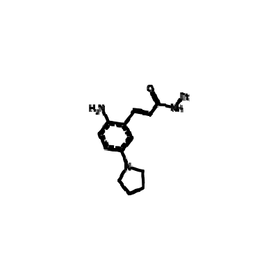 CCNC(=O)/C=C/c1cc(N2CCCC2)ccc1N